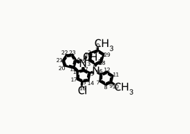 Cc1ccc(N(c2ccc(C)cc2)c2cc(Cl)cc3c4ccccc4n(C)c23)cc1